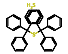 S.c1ccc(C(SC(c2ccccc2)(c2ccccc2)c2ccccc2)(c2ccccc2)c2ccccc2)cc1